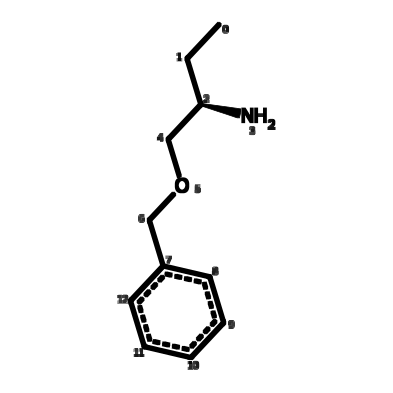 CC[C@@H](N)COCc1ccccc1